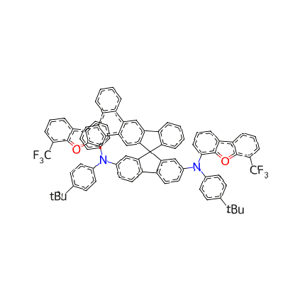 CC(C)(C)c1ccc(N(c2ccc3c(c2)C2(c4ccccc4-c4cc5c6ccccc6c6ccccc6c5cc42)c2cc(N(c4ccc(C(C)(C)C)cc4)c4cccc5c4oc4c(C(F)(F)F)cccc45)ccc2-3)c2cccc3c2oc2c(C(F)(F)F)cccc23)cc1